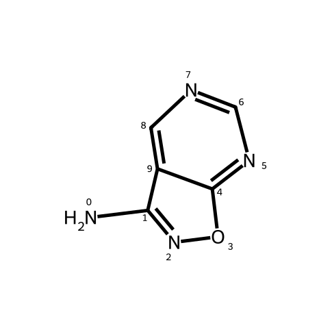 Nc1noc2ncncc12